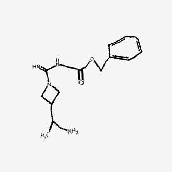 CC(N)C1CN(C(=N)NC(=O)OCc2ccccc2)C1